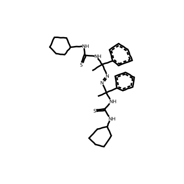 CC(N=NC(C)(NC(=S)NC1CCCCC1)c1ccccc1)(NC(=S)NC1CCCCC1)c1ccccc1